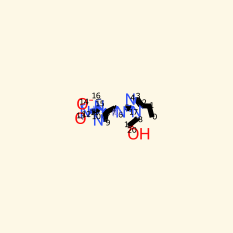 CCc1cnc(/N=C/c2cnc([N+](=O)[O-])n2C)n1CCO